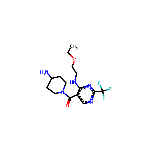 CCOCCNc1nc(C(F)(F)F)ncc1C(=O)N1CCC(N)CC1